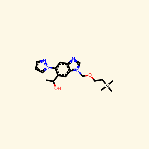 CC(O)c1cc2c(cc1-n1cccn1)ncn2COCC[Si](C)(C)C